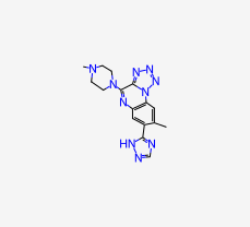 Cc1cc2c(cc1-c1ncn[nH]1)nc(N1CCN(C)CC1)c1nnnn12